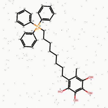 Cc1c(O)c(O)c(O)c(O)c1CCCCCCCC[PH](c1ccccc1)(c1ccccc1)c1ccccc1